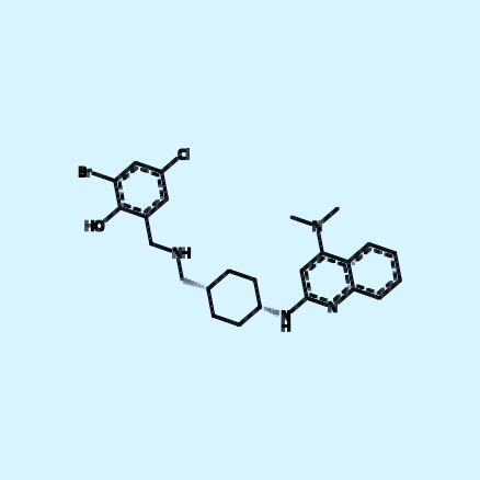 CN(C)c1cc(N[C@H]2CC[C@@H](CNCc3cc(Cl)cc(Br)c3O)CC2)nc2ccccc12